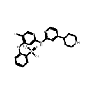 CP(C)(=O)c1ccccc1Nc1cc(Nc2cc(C3CCNCC3)ccn2)ncc1Cl